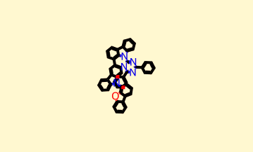 c1ccc(-c2nc(-c3ccccc3)nc(-n3c4ccccc4c4cccc(-c5ccc6c(c5)c5ccccc5n6-c5cccc6c5oc5ccccc56)c43)n2)cc1